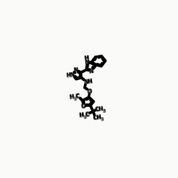 Cc1oc(C(C)(C)C)cc1OCNc1c[nH]nc1-c1nc2ccccc2[nH]1